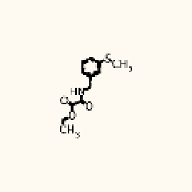 CCOC(=O)C(=O)NCc1cccc(SC)c1